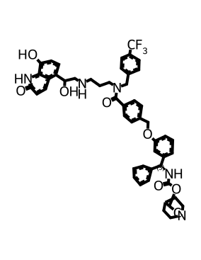 O=C(N[C@@H](c1ccccc1)c1cccc(OCc2ccc(C(=O)N(CCCNCC(O)c3ccc(O)c4[nH]c(=O)ccc34)Cc3ccc(C(F)(F)F)cc3)cc2)c1)OC1CN2CCC1CC2